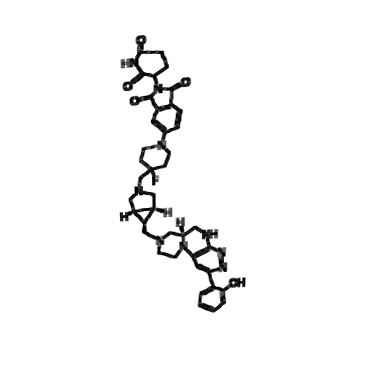 O=C1CCC(N2C(=O)c3ccc(N4CCC(F)(CN5C[C@@H]6[C@@H](CN7CCN8c9cc(-c%10ccccc%10O)nnc9NC[C@H]8C7)[C@@H]6C5)CC4)cc3C2=O)C(=O)N1